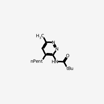 CCCCCc1cc(C)nnc1NC(=O)C(C)(C)C